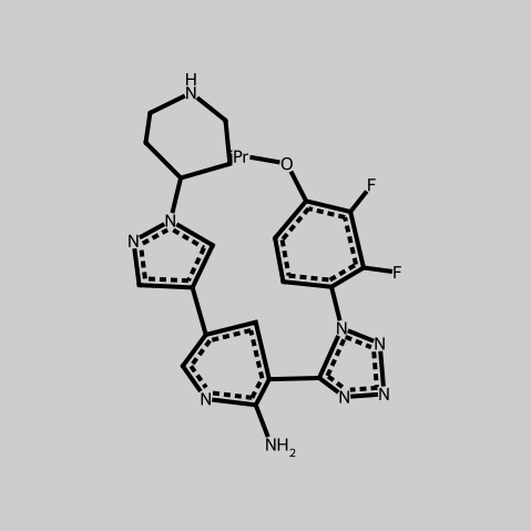 CC(C)Oc1ccc(-n2nnnc2-c2cc(-c3cnn(C4CCNCC4)c3)cnc2N)c(F)c1F